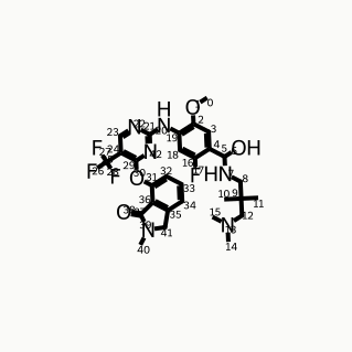 COc1cc(C(O)NCC(C)(C)CN(C)C)c(F)cc1Nc1ncc(C(F)(F)F)c(Oc2cccc3c2C(=O)N(C)C3)n1